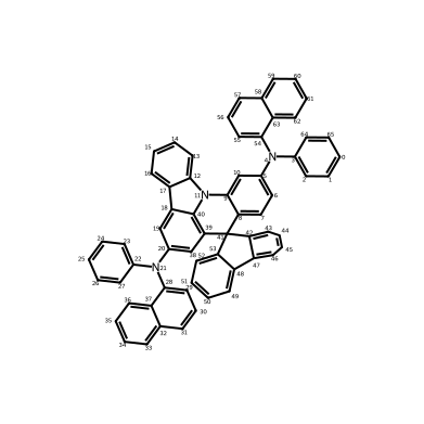 c1ccc(N(c2ccc3c(c2)-n2c4ccccc4c4cc(N(c5ccccc5)c5cccc6ccccc56)cc(c42)C32c3ccccc3-c3ccccc32)c2cccc3ccccc23)cc1